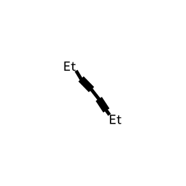 [CH2]CC#CC#CC[CH2]